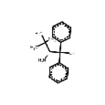 CC(C)(C)[C@@H](N)C(O)(c1ccccc1)c1ccccc1